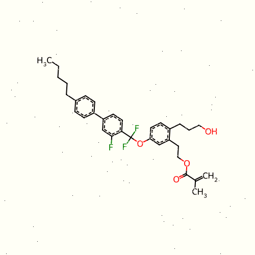 C=C(C)C(=O)OCCc1cc(OC(F)(F)c2ccc(-c3ccc(CCCCC)cc3)cc2F)ccc1CCCO